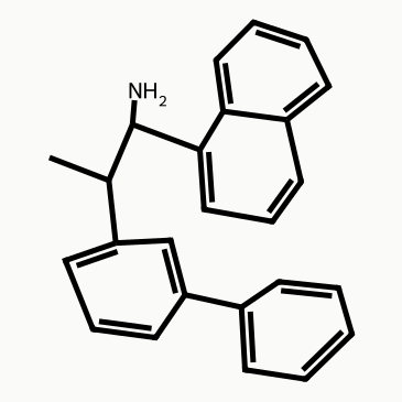 CC(c1cccc(-c2ccccc2)c1)C(N)c1cccc2ccccc12